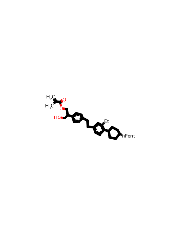 C=C(C)C(=O)OCC(CO)c1ccc(CCc2ccc(C3CCC(CCCCC)CC3)c(CC)c2)cc1